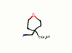 CCOC(=O)C1(CI)CCOCC1